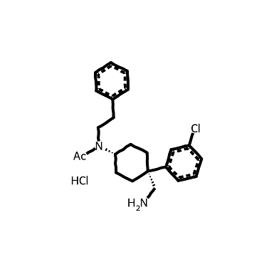 CC(=O)N(CCc1ccccc1)[C@H]1CC[C@](CN)(c2cccc(Cl)c2)CC1.Cl